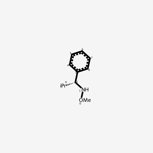 CON[C@@H](c1ccccc1)C(C)C